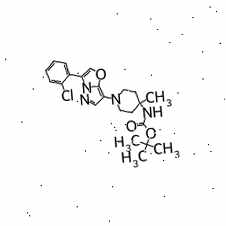 CC1(NC(=O)OC(C)(C)C)CCN(c2cnn3c(-c4ccccc4Cl)coc23)CC1